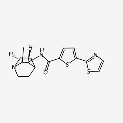 C[C@H]1[C@H](NC(=O)c2ccc(-c3nccs3)s2)C2CCN1CC2